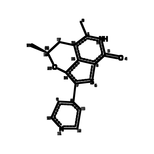 Cc1[nH]c(=O)c2sc(-c3ccncc3)c3c2c1C[C@H](C)O3